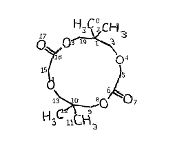 CC1(C)COCC(=O)OCC(C)(C)COCC(=O)OC1